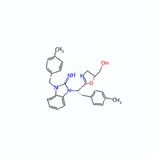 Cc1ccc(C[C@@H](C2=NCC(CO)O2)n2c(=N)n(Cc3ccc(C)cc3)c3ccccc32)cc1